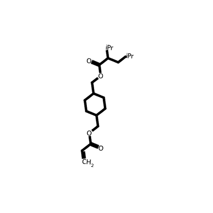 C=CC(=O)OCC1CCC(COC(=O)C(CC(C)C)C(C)C)CC1